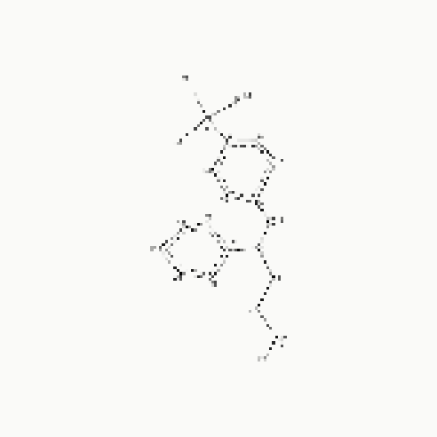 C[Se]CCC(Oc1ccc(C(F)(F)F)cc1)c1ccccc1